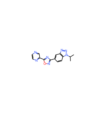 CC(C)n1nnc2cc(-c3noc(-c4cnccn4)n3)ccc21